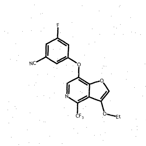 CCOc1coc2c(Oc3cc(F)cc(C#N)c3)cnc(C(F)(F)F)c12